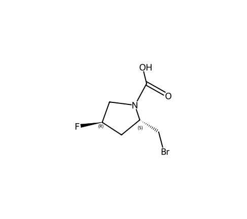 O=C(O)N1C[C@H](F)C[C@H]1CBr